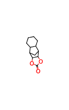 O=C1OC2C3CC(C4CCCCC43)C2O1